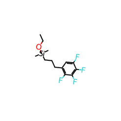 CCO[Si](C)(C)CCCc1cc(F)c(F)c(F)c1F